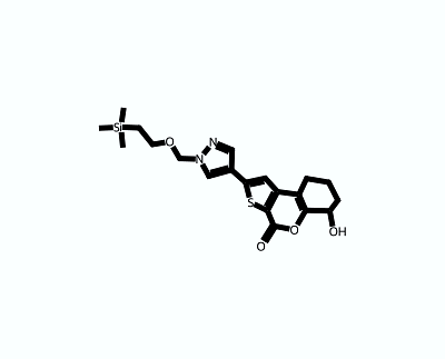 C[Si](C)(C)CCOCn1cc(-c2cc3c4c(oc(=O)c3s2)C(O)CCC4)cn1